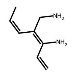 C=C/C(N)=C(\C=C/C)CN